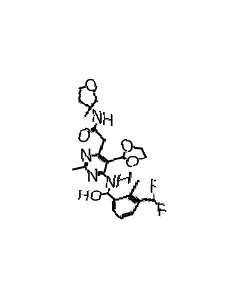 Cc1nc(CC(=O)NC2(C)CCOC2)c(C2OCCO2)c(NC(O)c2cccc(C(F)F)c2C)n1